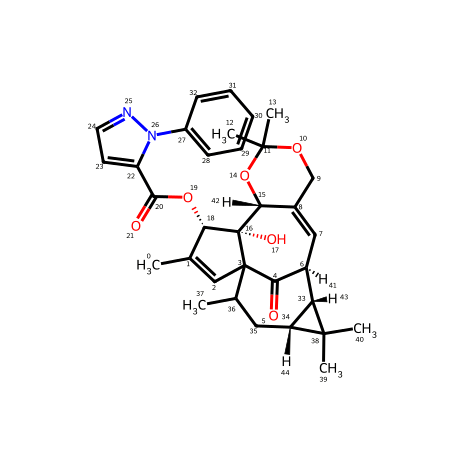 CC1=CC23C(=O)[C@@H](C=C4COC(C)(C)O[C@H]4[C@]2(O)[C@H]1OC(=O)c1ccnn1-c1ccccc1)[C@H]1[C@@H](CC3C)C1(C)C